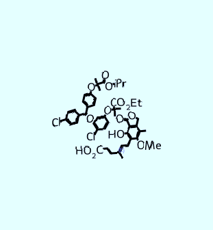 CC(C)OC(=O)C(C)(C)Oc1ccc(C(=O)c2ccc(Cl)cc2)cc1.CCOC(=O)C(C)(C)Oc1ccc(Cl)cc1.COc1c(C)c2c(c(O)c1C/C=C(\C)CCC(=O)O)C(=O)OC2